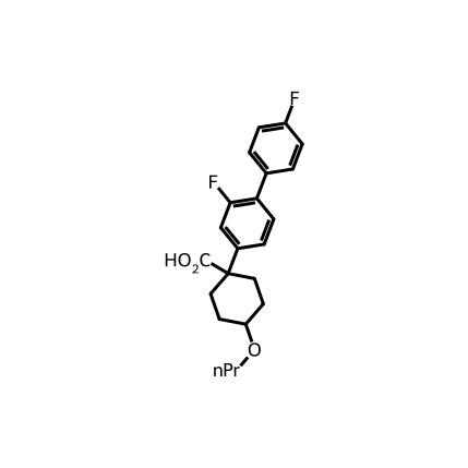 CCCOC1CCC(C(=O)O)(c2ccc(-c3ccc(F)cc3)c(F)c2)CC1